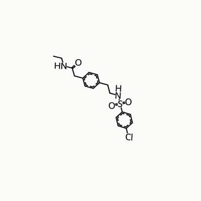 CCNC(=O)Cc1ccc(CCNS(=O)(=O)c2ccc(Cl)cc2)cc1